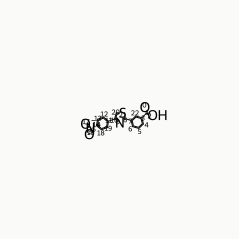 O=C(O)c1cccc(-c2nc(-c3ccc([N+](=O)[O-])cc3)cs2)c1